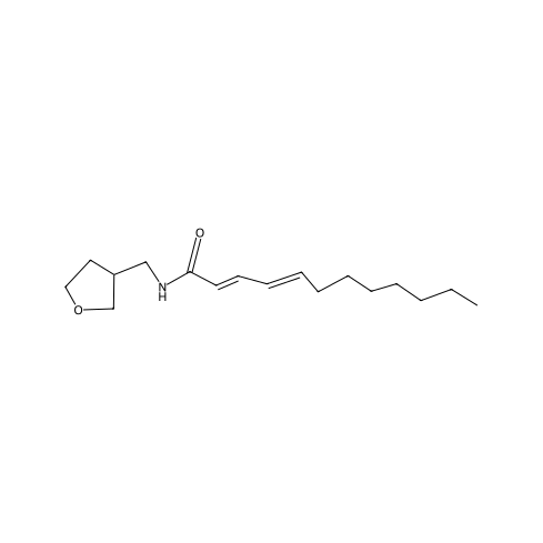 CCCCCCCC=CC=CC(=O)NCC1CCOC1